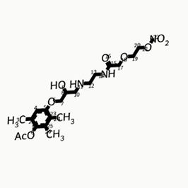 CC(=O)Oc1c(C)cc(OCC(O)CNCCNC(=O)COCCO[N+](=O)[O-])c(C)c1C